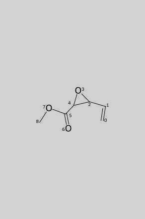 C=CC1OC1C(=O)OC